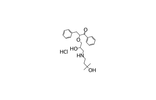 CC(C)(O)CCNCC(O)COC(Cc1ccccc1)C(=O)c1ccccc1.Cl